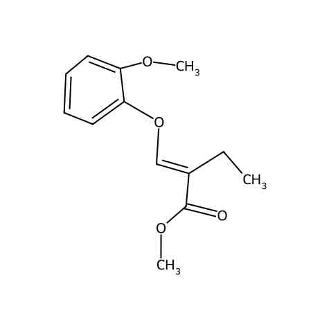 CC/C(=C\Oc1ccccc1OC)C(=O)OC